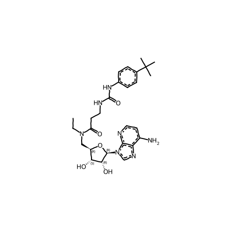 CCN(C[C@H]1O[C@@H](n2cnc3c(N)ccnc32)[C@H](O)[C@@H]1O)C(=O)CCNC(=O)Nc1ccc(C(C)(C)C)cc1